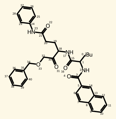 CCC(C)C(NC(=O)c1ccc2ccccc2c1)C(=O)NC(CCC(=O)Nc1ccccc1)C(=O)COCc1ccccc1